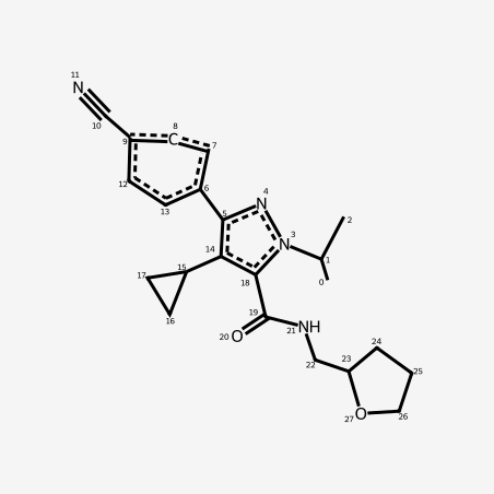 CC(C)n1nc(-c2ccc(C#N)cc2)c(C2CC2)c1C(=O)NCC1CCCO1